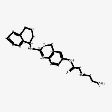 COCCNCC(=O)Nc1ccc2c(c1)COC(NC1CCCc3ccccc31)=N2